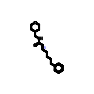 O=C(/C=C/CCCCc1ccccc1)NCC1CCOCC1